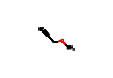 C#CCO[SiH3]